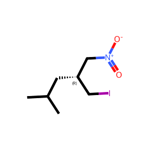 CC(C)C[C@@H](CI)C[N+](=O)[O-]